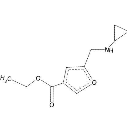 CCOC(=O)c1coc(CNC2CC2)c1